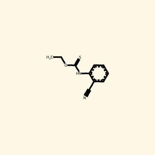 CCOC(=S)Nc1ccccc1C#N